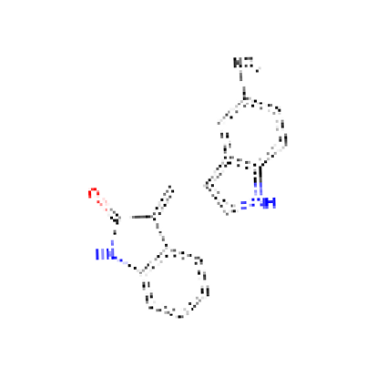 O=C1Nc2ccccc2C1=Cc1c[nH]c2ccc([N+](=O)[O-])cc12